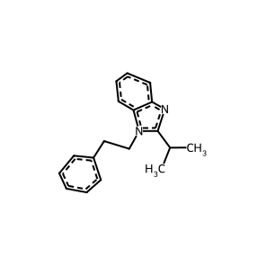 CC(C)c1nc2ccccc2n1CCc1ccccc1